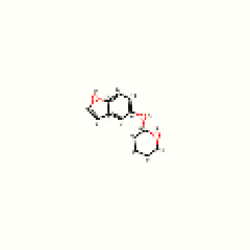 c1cc2cc(OC3CCCCO3)ccc2o1